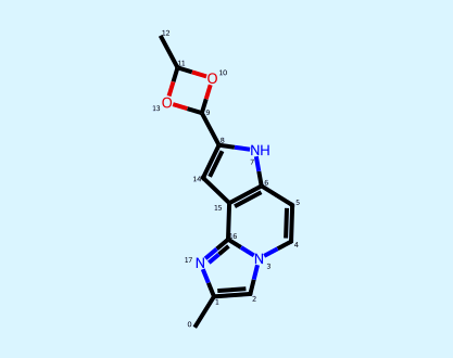 Cc1cn2ccc3[nH]c(C4OC(C)O4)cc3c2n1